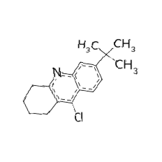 CC(C)(C)c1ccc2c(Cl)c3c(nc2c1)CCCC3